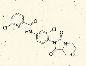 O=C(Nc1ccc(N2C(=O)C3COCCN3C2=O)c(Cl)c1)c1cccc(Cl)n1